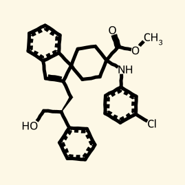 COC(=O)C1(Nc2cccc(Cl)c2)CCC2(CC1)C(C[C@H](CO)c1ccccc1)=Cc1ccccc12